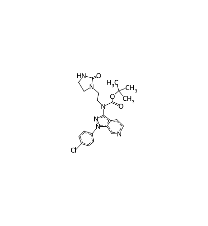 CC(C)(C)OC(=O)N(CCN1CCNC1=O)c1nn(-c2ccc(Cl)cc2)c2cnccc12